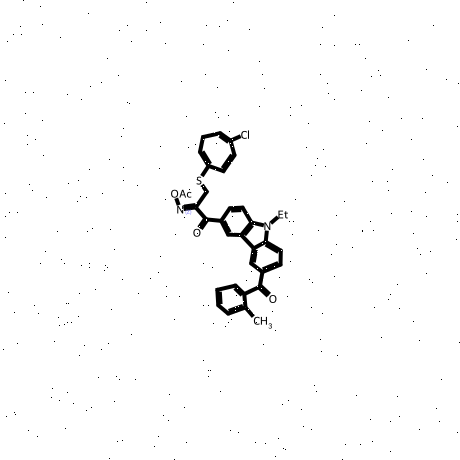 CCn1c2ccc(C(=O)/C(CSC3=CCC=C(Cl)C=C3)=N/OC(C)=O)cc2c2cc(C(=O)c3ccccc3C)ccc21